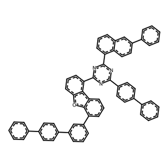 c1ccc(-c2ccc(-c3cccc(-c4cccc5c4oc4cccc(-c6nc(-c7ccc(-c8ccccc8)cc7)nc(-c7cccc8cc(-c9ccccc9)ccc78)n6)c45)c3)cc2)cc1